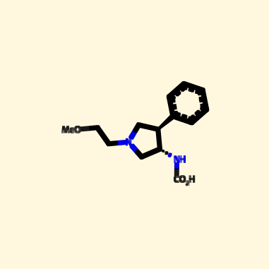 COCCN1C[C@@H](NC(=O)O)[C@H](c2ccccc2)C1